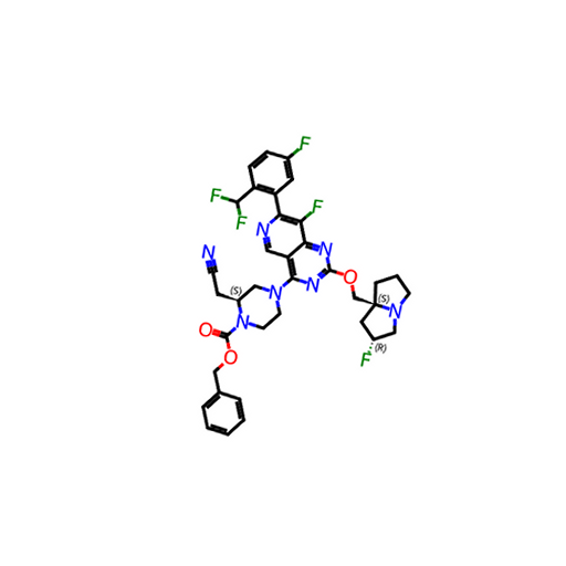 N#CC[C@H]1CN(c2nc(OC[C@@]34CCCN3C[C@H](F)C4)nc3c(F)c(-c4cc(F)ccc4C(F)F)ncc23)CCN1C(=O)OCc1ccccc1